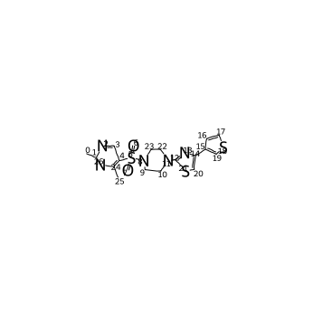 Cc1ncc(S(=O)(=O)N2CCN(c3nc(-c4ccsc4)cs3)CC2)c(C)n1